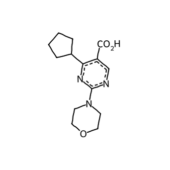 O=C(O)c1cnc(N2CCOCC2)nc1C1CCCC1